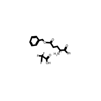 CC(C)C(=O)[C@@H](N)CCC(=O)OCc1ccccc1.O=C(O)C(F)(F)F